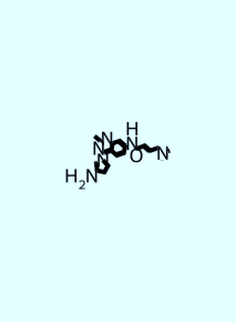 Cc1nc(N2CCC(N)C2)c2ccc(NC(=O)C=CCN(C)C)cc2n1